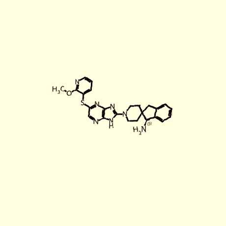 COc1ncccc1Sc1cnc2[nH]c(N3CCC4(CC3)Cc3ccccc3[C@H]4N)nc2n1